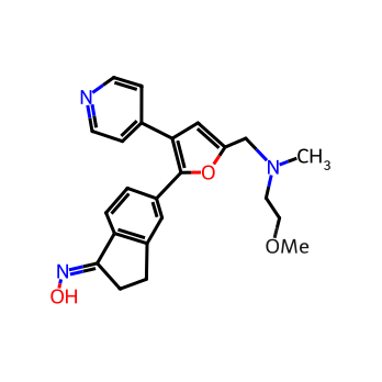 COCCN(C)Cc1cc(-c2ccncc2)c(-c2ccc3c(c2)CCC3=NO)o1